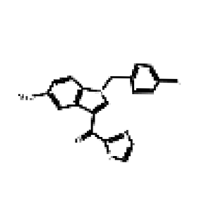 COc1ccc2c(c1)c(C(=O)c1nncs1)cn2Cc1ccc(Cl)cc1